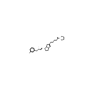 Cc1cccc(C[C@H](O)/C=C/[C@@H]2[C@H]3CC(CCCCC(=O)N4CCCC4)=C[C@H]3C[C@H]2O)c1